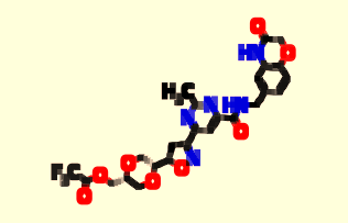 Cc1nc(C(=O)NCc2ccc3c(c2)NC(=O)CO3)cc(C2=NO[C@@H]([C@H]3CO[C@@H](COC(=O)C(F)(F)F)CO3)C2)n1